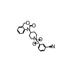 N#Cc1cccc(S(=O)(=O)N2CCC(N3C(=O)OCc4ccccc43)CC2)c1